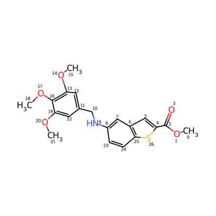 COC(=O)c1cc2cc(NCc3cc(OC)c(OC)c(OC)c3)ccc2s1